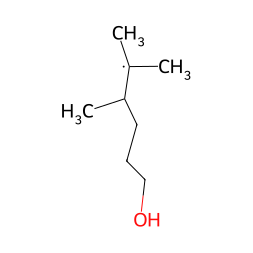 C[C](C)C(C)CCCO